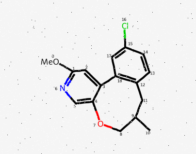 COc1cc2c(cn1)OCC(C)Cc1ccc(Cl)cc1-2